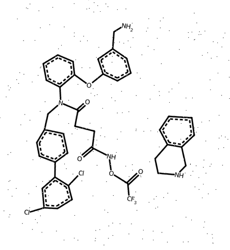 NCc1cccc(Oc2ccccc2N(Cc2ccc(-c3cc(Cl)ccc3Cl)cc2)C(=O)CCC(=O)NOC(=O)C(F)(F)F)c1.c1ccc2c(c1)CCNC2